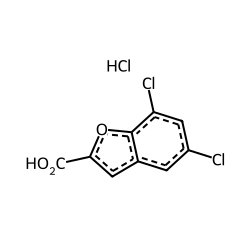 Cl.O=C(O)c1cc2cc(Cl)cc(Cl)c2o1